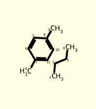 CCCC.Cc1ccc(C)cc1